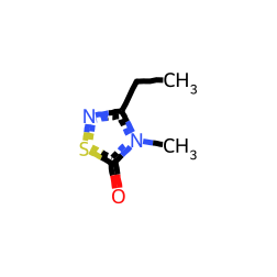 CCc1nsc(=O)n1C